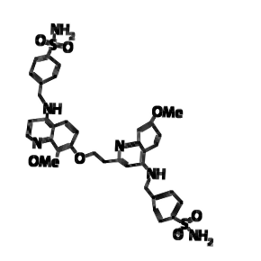 COc1ccc2c(NCc3ccc(S(N)(=O)=O)cc3)cc(CCOc3ccc4c(NCc5ccc(S(N)(=O)=O)cc5)ccnc4c3OC)nc2c1